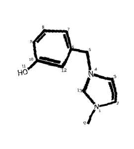 CN1C=CN(Cc2cccc(O)c2)C1